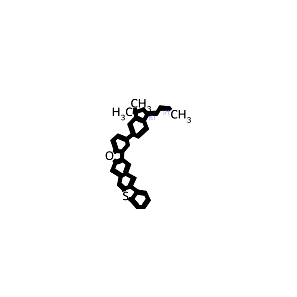 C/C=C\C=C1/CC(C)(C)c2cc(C3=CC=C4Oc5cc6cc7sc8ccccc8c7cc6cc5C4C3)ccc21